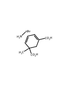 CC1(C(=O)O)C=CC=C(C(=O)O)C1.CCCCN